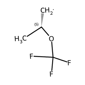 [CH2][C@@H](C)OC(F)(F)F